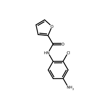 Nc1ccc(NC(=O)c2ccco2)c(Cl)c1